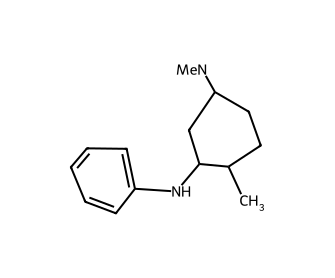 CNC1CCC(C)C(Nc2ccccc2)C1